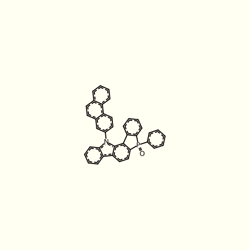 O=P1(c2ccccc2)c2ccccc2-c2c1ccc1c3ccccc3n(-c3ccc4c(ccc5ccccc54)c3)c21